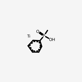 CP(=O)(O)c1ccccc1.[Ti]